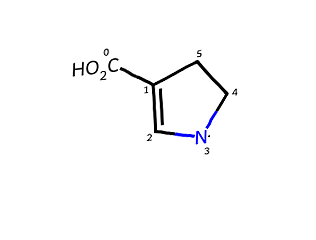 O=C(O)C1=C[N]CC1